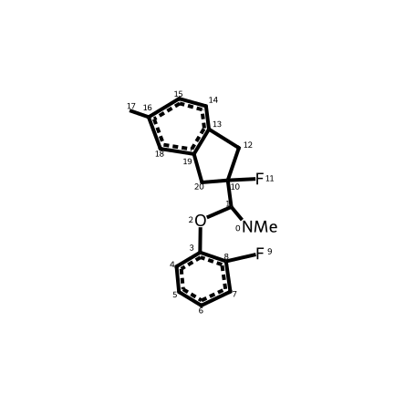 CNC(Oc1ccccc1F)C1(F)Cc2ccc(C)cc2C1